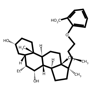 CC[C@H]1[C@@H](O)[C@@H]2[C@H](CC[C@@]3(C)[C@H]2CC[C@]3(C)[C@H](C)CCOc2ccccc2C(=O)O)[C@@]2(C)CC[C@@H](O)C[C@@H]12